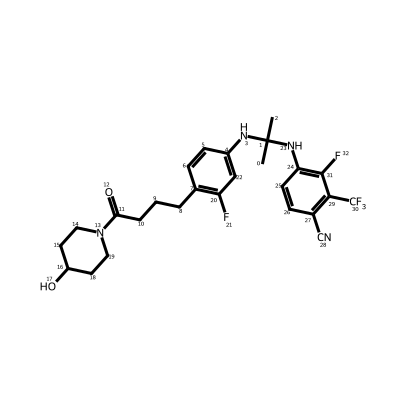 CC(C)(Nc1ccc(CCCC(=O)N2CCC(O)CC2)c(F)c1)Nc1ccc(C#N)c(C(F)(F)F)c1F